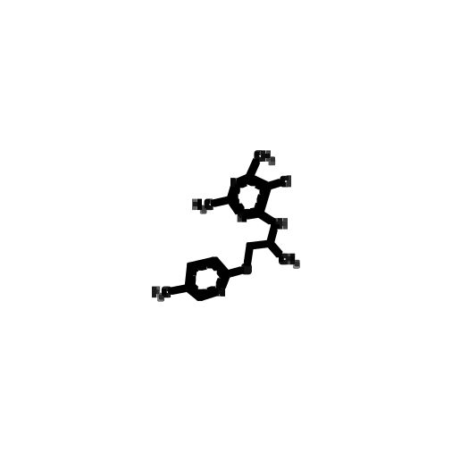 Cc1nc(C)c(Cl)c(NC(C)COc2ccc(C(F)(F)F)cn2)n1